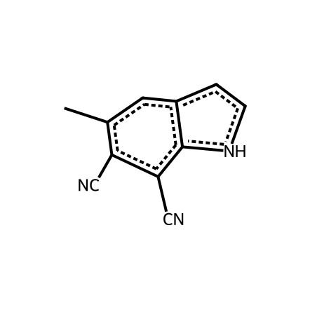 Cc1cc2cc[nH]c2c(C#N)c1C#N